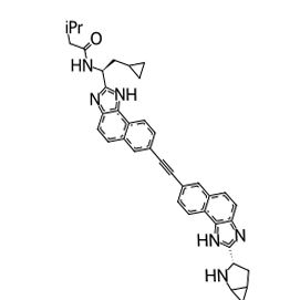 CC(C)CC(=O)N[C@@H](CC1CC1)c1nc2ccc3cc(C#Cc4ccc5c(ccc6nc([C@@H]7CC8CC8N7)[nH]c65)c4)ccc3c2[nH]1